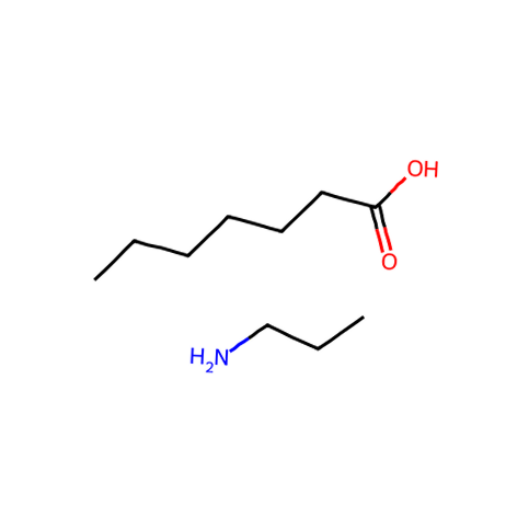 CCCCCCC(=O)O.CCCN